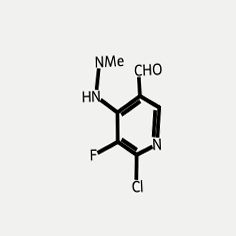 CNNc1c(C=O)cnc(Cl)c1F